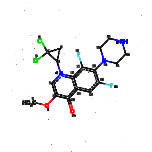 O=C(O)Oc1cn(C2CC2(Cl)Cl)c2c(F)c(N3CCNCC3)c(F)cc2c1=O